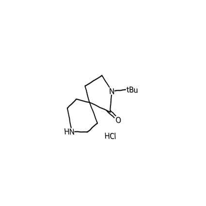 CC(C)(C)N1CCC2(CCNCC2)C1=O.Cl